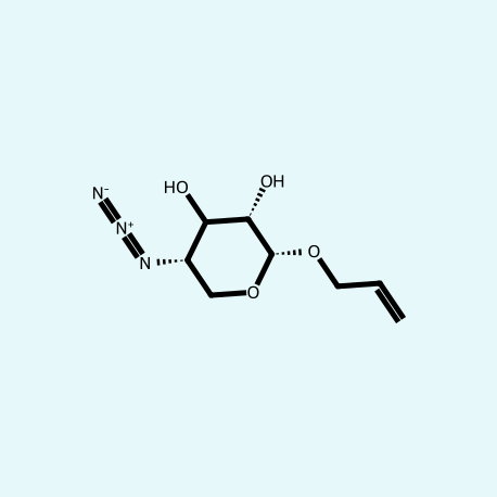 C=CCO[C@@H]1OC[C@H](N=[N+]=[N-])C(O)[C@@H]1O